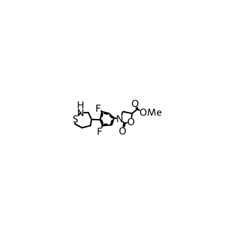 COC(=O)C1CN(c2cc(F)c(C3CCCSNC3)c(F)c2)C(=O)O1